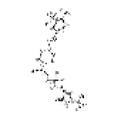 O=C(N1CCC(COc2ccc(F)c(C(F)(F)F)c2)CC1)N1CC2(CC(c3nc(C4(O)CC4)n[nH]3)C2)C1